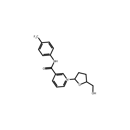 O=C(Nc1ccc(C(F)(F)F)cc1)c1ccc[n+](C2CCC(CO)O2)c1